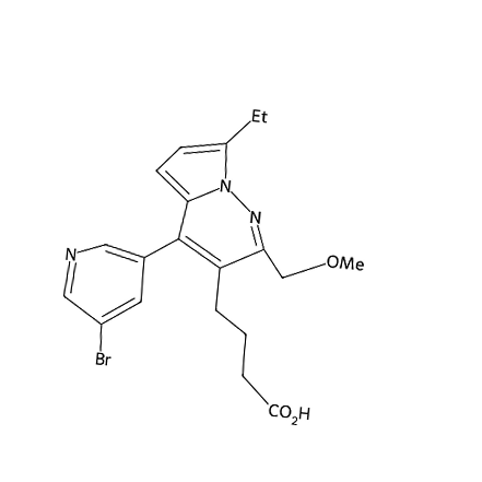 CCc1ccc2c(-c3cncc(Br)c3)c(CCCC(=O)O)c(COC)nn12